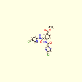 COC(=O)c1ccc(NC(=O)c2cnc(Cl)cn2)c(C(=O)Nc2ccc(Cl)cn2)c1